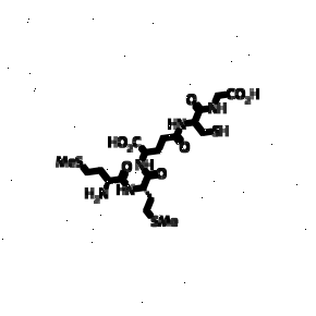 CSCC[C@H](NC(=O)[C@@H](N)CCSC)C(=O)NC(CCC(=O)NC(CS)C(=O)NCC(=O)O)C(=O)O